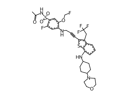 CC(=O)NS(=O)(=O)c1cc(OCF)c(NCC#Cc2sc3c(NC4CCC(N5CCOCC5)CC4)cccc3c2CC(F)(F)F)cc1F